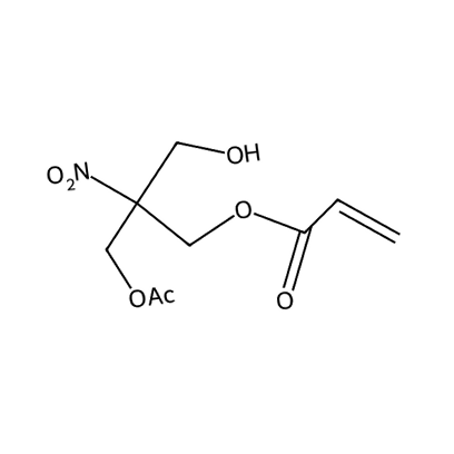 C=CC(=O)OCC(CO)(COC(C)=O)[N+](=O)[O-]